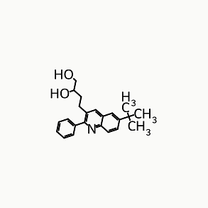 CC(C)(C)c1ccc2nc(-c3ccccc3)c(CCC(O)CO)cc2c1